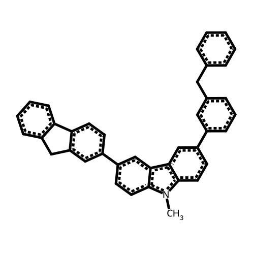 Cn1c2ccc(-c3cccc(Cc4ccccc4)c3)cc2c2cc(-c3ccc4c(c3)Cc3ccccc3-4)ccc21